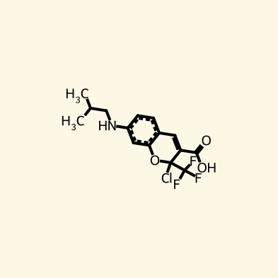 CC(C)CNc1ccc2c(c1)OC(Cl)(C(F)(F)F)C(C(=O)O)=C2